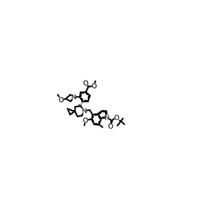 COC(=O)c1ccc([C@H]2CC3(CCN2Cc2c(OC)cc(C)c4c2ccn4C(=O)OC(C)(C)C)CC3)c(N2CC(OC)C2)c1